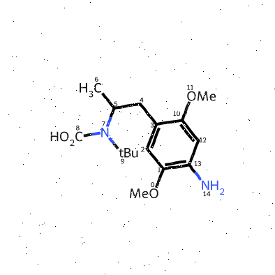 COc1cc(CC(C)N(C(=O)O)C(C)(C)C)c(OC)cc1N